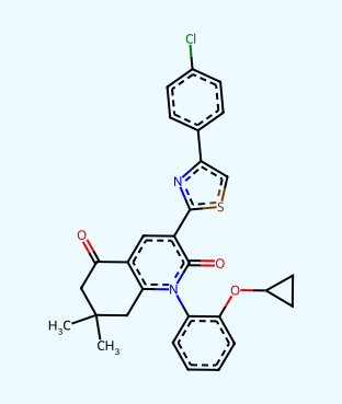 CC1(C)CC(=O)c2cc(-c3nc(-c4ccc(Cl)cc4)cs3)c(=O)n(-c3ccccc3OC3CC3)c2C1